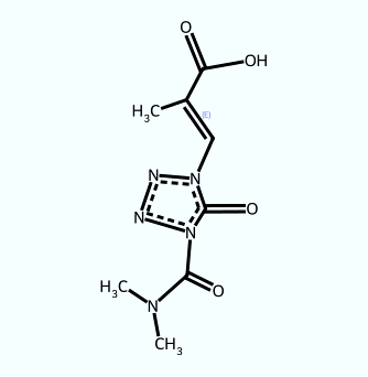 C/C(=C\n1nnn(C(=O)N(C)C)c1=O)C(=O)O